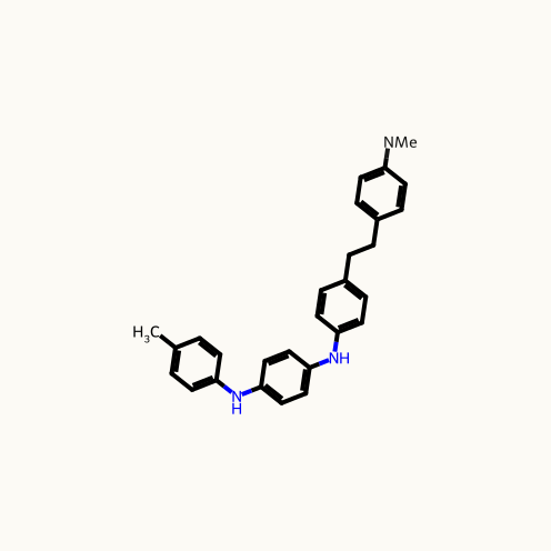 CNc1ccc(CCc2ccc(Nc3ccc(Nc4ccc(C)cc4)cc3)cc2)cc1